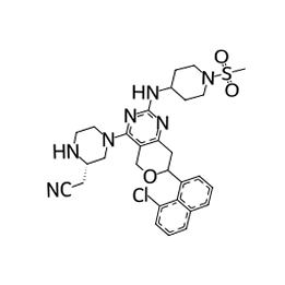 CS(=O)(=O)N1CCC(Nc2nc3c(c(N4CCN[C@@H](CC#N)C4)n2)COC(c2cccc4cccc(Cl)c24)C3)CC1